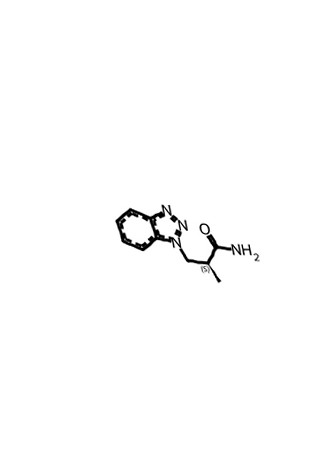 C[C@@H](Cn1nnc2ccccc21)C(N)=O